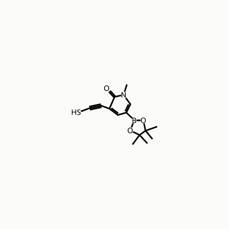 Cn1cc(B2OC(C)(C)C(C)(C)O2)cc(C#CS)c1=O